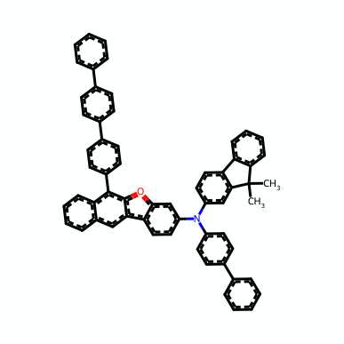 CC1(C)c2ccccc2-c2ccc(N(c3ccc(-c4ccccc4)cc3)c3ccc4c(c3)oc3c(-c5ccc(-c6ccc(-c7ccccc7)cc6)cc5)c5ccccc5cc34)cc21